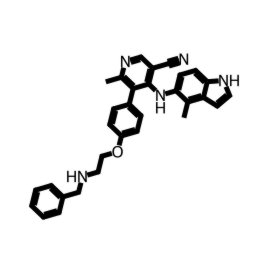 Cc1ncc(C#N)c(Nc2ccc3[nH]ccc3c2C)c1-c1ccc(OCCNCc2ccccc2)cc1